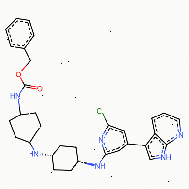 O=C(NC1CCC(N[C@H]2CC[C@H](Nc3cc(-c4c[nH]c5ncccc45)cc(Cl)n3)CC2)CC1)OCc1ccccc1